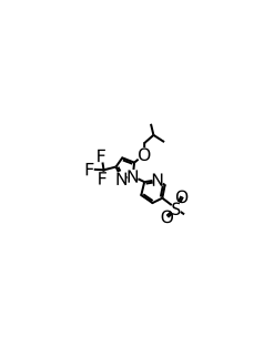 CC(C)COc1cc(C(F)(F)F)nn1-c1ccc(S(C)(=O)=O)cn1